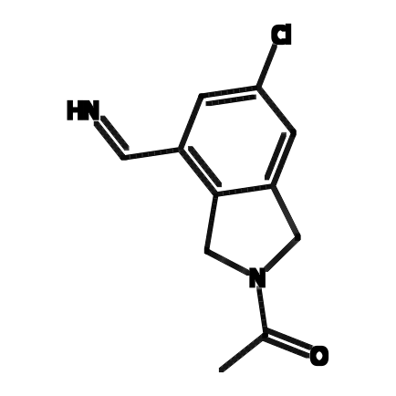 CC(=O)N1Cc2cc(Cl)cc(C=N)c2C1